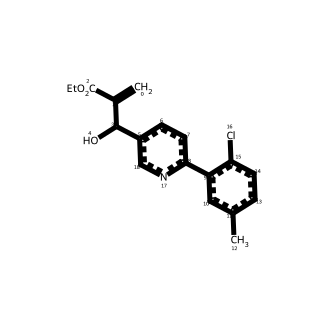 C=C(C(=O)OCC)C(O)c1ccc(-c2cc(C)ccc2Cl)nc1